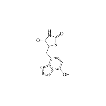 O=C1NC(=O)C(Cc2ccc(O)c3ccoc23)S1